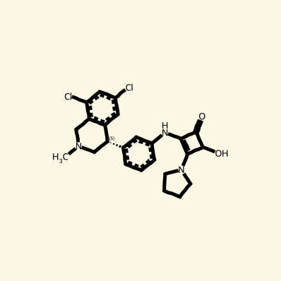 CN1Cc2c(Cl)cc(Cl)cc2[C@H](c2cccc(NC3=C(N4CCCC4)C(O)C3=O)c2)C1